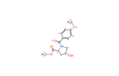 COC(=O)C1CC(O)CN1C(=O)c1ccc(OC)cc1